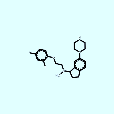 CN(CCOc1ccc(F)cc1F)C1CCc2ccc(N3CCNCC3)cc21